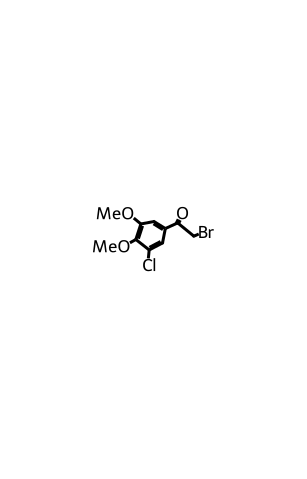 COc1cc(C(=O)CBr)cc(Cl)c1OC